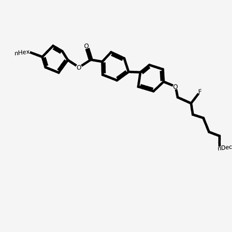 CCCCCCCCCCCCCCC(F)COc1ccc(-c2ccc(C(=O)Oc3ccc(CCCCCC)cc3)cc2)cc1